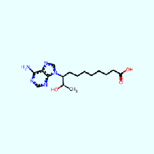 C[C@@H](O)C(CCCCCCCC(=O)O)n1cnc2c(N)ncnc21